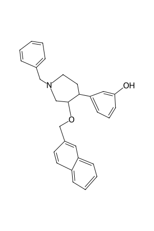 Oc1cccc(C2CCN(Cc3ccccc3)CC2OCc2ccc3ccccc3c2)c1